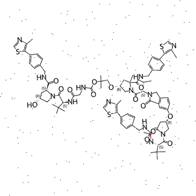 CC(=O)N(C)[C@H](C(=O)N1C[C@H](Oc2ccc3c(c2)C(=O)N([C@H](C(=O)N2C[C@H](OCC(C)(C)OC(=O)NCC(=O)N[C@H](C(=O)N4C[C@H](O)C[C@H]4C(=O)NCc4ccc(-c5scnc5C)cc4)C(C)(C)C)CC2(C)C(=O)NCc2ccc(-c4scnc4C)cc2)C(C)C)C3)C[C@H]1C(=O)NCc1ccc(-c2scnc2C)cc1)C(C)(C)C